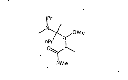 CCCC(C)(C(OC)C(C)C(=O)NC)N(C)C(C)C